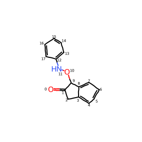 O=C1Cc2ccccc2C1ONc1ccccc1